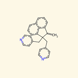 C=C1c2cccc3cccc(c23)C1(Cc1ccncc1)Cc1ccncc1